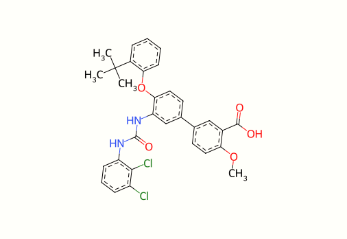 COc1ccc(-c2ccc(Oc3ccccc3C(C)(C)C)c(NC(=O)Nc3cccc(Cl)c3Cl)c2)cc1C(=O)O